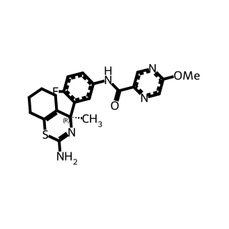 COc1cnc(C(=O)Nc2ccc(F)c([C@@]3(C)N=C(N)SC4=C3CCCC4)c2)cn1